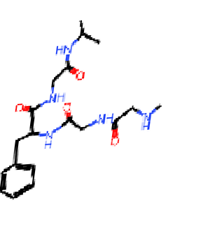 CNCC(=O)NCC(=O)NC(Cc1ccccc1)C(=O)NCC(=O)NC(C)C